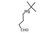 C[C](C)(C)[Mg][CH2]CCC=O